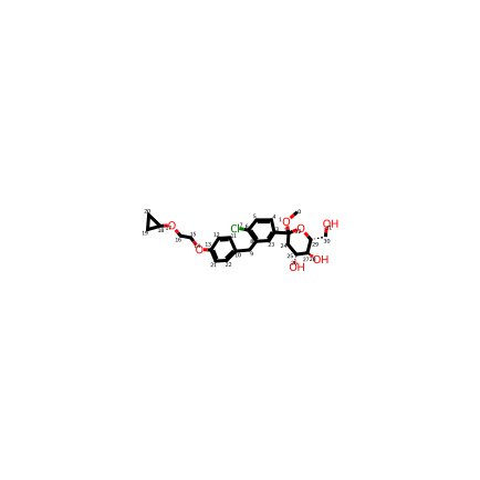 COC1(c2ccc(Cl)c(Cc3ccc(OCCOC4CC4)cc3)c2)C[C@@H](O)[C@H](O)[C@@H](CO)O1